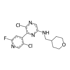 Fc1cc(-c2nc(NCC3CCOCC3)cnc2Cl)c(Cl)cn1